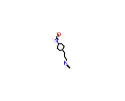 C=C=NCCCC1CCC(N=C=O)CC1